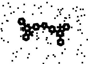 CC1(C)C2=C(NC(c3ccccc3)N=C2c2ccc(-c3ccc(-c4ccc(-c5nc(-c6ccccc6)nc6c5C(C)(C)c5ccccc5-6)cc4)s3)cc2)c2ccccc21